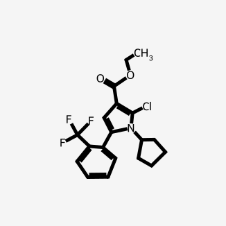 CCOC(=O)c1cc(-c2ccccc2C(F)(F)F)n(C2CCCC2)c1Cl